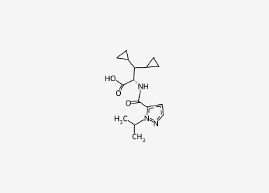 CC(C)n1nccc1C(=O)N[C@H](C(=O)O)C(C1CC1)C1CC1